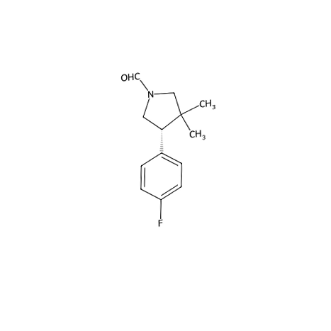 CC1(C)CN(C=O)C[C@H]1c1ccc(F)cc1